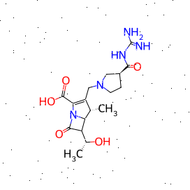 C[C@@H](O)C1C(=O)N2C(C(=O)O)=C(CN3CC[C@H](C(=O)NC(=N)N)C3)[C@H](C)C12